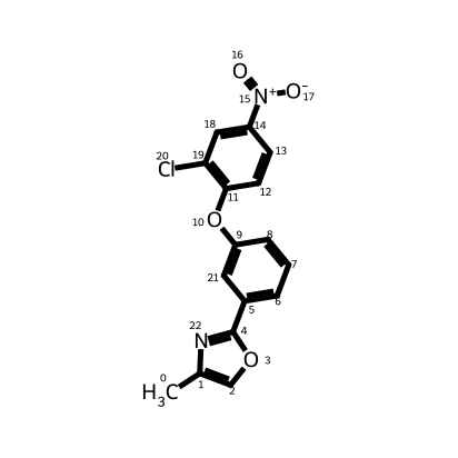 Cc1coc(-c2cccc(Oc3ccc([N+](=O)[O-])cc3Cl)c2)n1